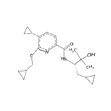 CC(C)(O)[C@H](CC1CC1)NC(=O)c1ccc(C2CC2)c(OCC2CC2)n1